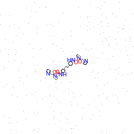 O=C(Nc1ccc(/C=C/c2ccc(NC(=O)[C@@H]3CCCN3C(=O)Cc3ccccn3)cc2)cc1)[C@@H]1C=CCN1C(=O)Cc1ccccn1